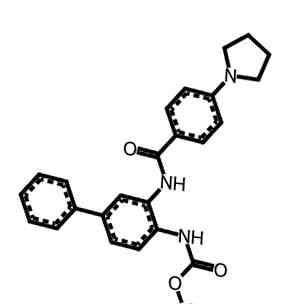 CC(C)(C)OC(=O)Nc1ccc(-c2ccccc2)cc1NC(=O)c1ccc(N2CCCC2)cc1